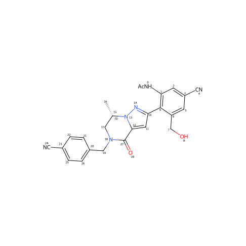 CC(=O)Nc1cc(C#N)cc(CO)c1-c1cc2n(n1)[C@@H](C)CN(Cc1ccc(C#N)cc1)C2=O